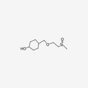 C[Si](=O)CCOCC1CCC(O)CC1